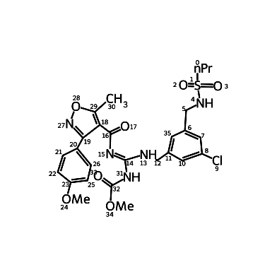 CCCS(=O)(=O)NCc1cc(Cl)cc(CN/C(=N\C(=O)c2c(-c3ccc(OC)cc3)noc2C)NC(=O)OC)c1